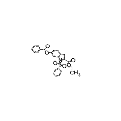 CCOC(=O)c1cc2ccc(OC(=O)c3ccccc3)cc2n1S(=O)(=O)c1ccccc1